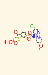 CCOC1CCN(c2ncc(Cl)cc2NS(=O)(=O)c2ccc3c(OC)c(CC(=O)O)sc3c2)CC1